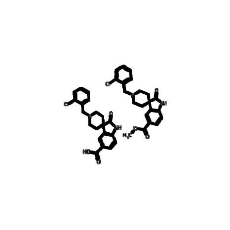 COC(=O)c1ccc2c(c1)C1(CCN(Cc3ccccc3Cl)CC1)C(=O)N2.O=C(O)c1ccc2c(c1)C1(CCN(Cc3ccccc3Cl)CC1)C(=O)N2